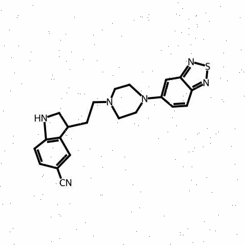 N#Cc1ccc2c(c1)C(CCN1CCN(c3ccc4nsnc4c3)CC1)CN2